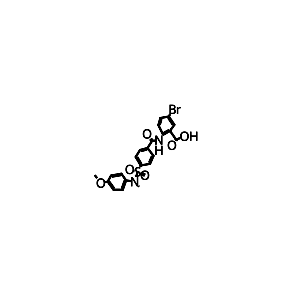 COc1ccc(N(C)S(=O)(=O)c2ccc(C(=O)Nc3ccc(Br)cc3C(=O)O)cc2)cc1